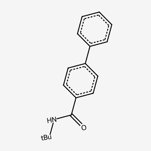 CC(C)(C)NC(=O)c1ccc(-c2ccccc2)cc1